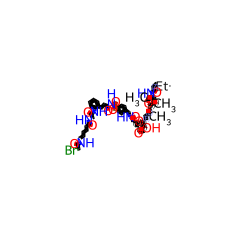 C[CH]/C=C\C(=O)N[C@@H]1C[C@H](C)[C@H](C/C=C(C)/C=C/[C@H]2O[C@H](CC(=O)NCc3ccc(S(=O)(=O)NC(=O)CCc4ccccc4NC(=O)CNC(=O)CCCCCNC(=O)CBr)cc3)C[C@@]3(CO3)[C@@H]2O)O[C@@H]1C